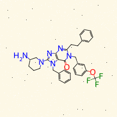 NC1CCCN(c2nc3nc(CCc4ccccc4)n(Cc4cccc(OC(F)(F)F)c4)c(=O)c3n2Cc2ccccc2)C1